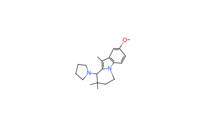 COc1ccc2c(c1)c(C)c1n2CCC(C)(C)C1N1CCCC1